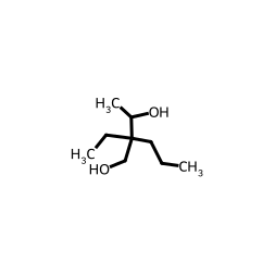 CCCC(CC)(CO)C(C)O